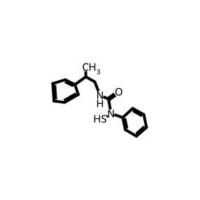 CC(CNC(=O)N(S)c1ccccc1)c1ccccc1